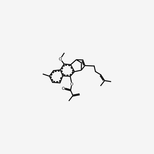 C=C(C)C(=O)Oc1c2c(c(OC)c3cc(C)ccc13)C1C=C(CCC=C(C)C)C2C1